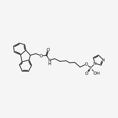 O=C(NCCCCCCOP(=O)(O)n1ccnc1)OCC1c2ccccc2-c2ccccc21